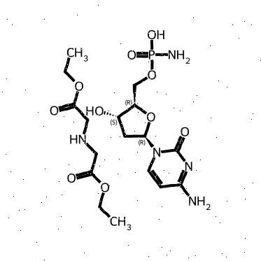 CCOC(=O)CNCC(=O)OCC.Nc1ccn([C@H]2C[C@H](O)[C@@H](COP(N)(=O)O)O2)c(=O)n1